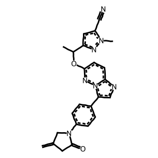 C=C1CC(=O)N(c2ccc(-c3cnc4ccc(OC(C)c5cc(C#N)n(C)n5)nn34)cc2)C1